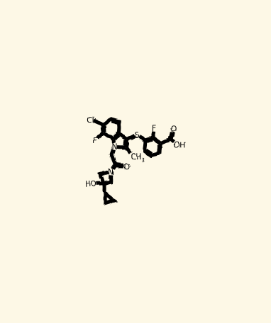 Cc1c(Sc2cccc(C(=O)O)c2F)c2ccc(Cl)c(F)c2n1CC(=O)N1CC(O)(C2CC2)C1